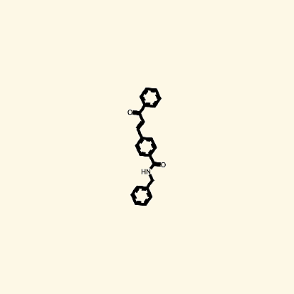 O=C(C=Cc1ccc(C(=O)N[CH]c2ccccc2)cc1)c1ccccc1